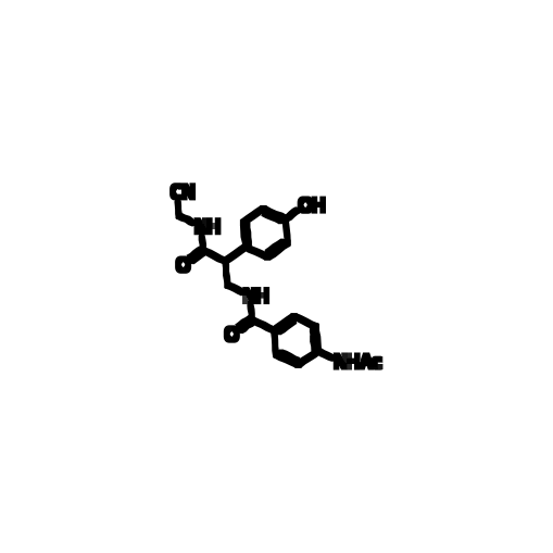 CC(=O)Nc1ccc(C(=O)NCC(C(=O)NCC#N)c2ccc(O)cc2)cc1